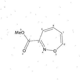 COC(=O)C1=NOC=CC=C1